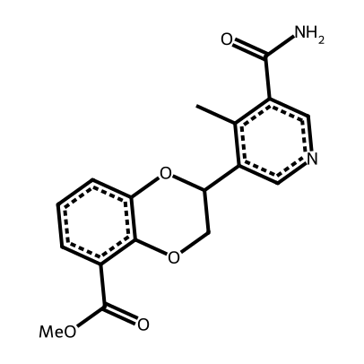 COC(=O)c1cccc2c1OCC(c1cncc(C(N)=O)c1C)O2